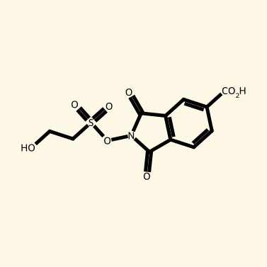 O=C(O)c1ccc2c(c1)C(=O)N(OS(=O)(=O)CCO)C2=O